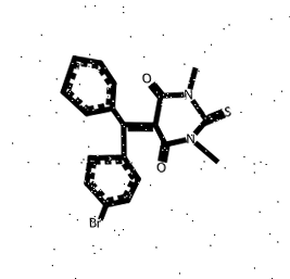 CN1C(=O)C(=C(c2ccccc2)c2ccc(Br)cc2)C(=O)N(C)C1=S